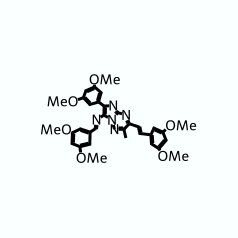 COc1cc(/C=C/c2nc3nc(-c4cc(OC)cc(OC)c4)c(/N=C/c4cc(OC)cc(OC)c4)n3nc2C)cc(OC)c1